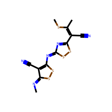 CN=c1ssc(/N=c2/nc(C(C#N)=C(C)SC)ss2)c1C#N